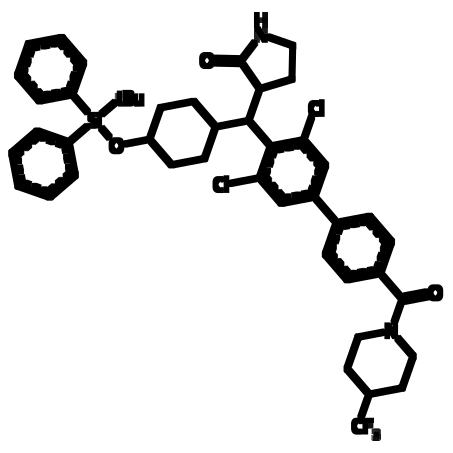 CC(C)(C)[Si](OC1CCC(C(c2c(Cl)cc(-c3ccc(C(=O)N4CCC(C(F)(F)F)CC4)cc3)cc2Cl)C2CCNC2=O)CC1)(c1ccccc1)c1ccccc1